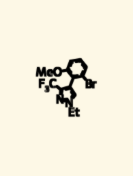 CCn1cc(-c2c(Br)cccc2OC)c(C(F)(F)F)n1